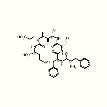 CSCC[C@H](NC(=O)[C@H](CCC(=O)O)NC(=O)[C@@H](NC(=O)[C@H](CC(C)C)NC(=O)[C@H](Cc1ccccc1)NC(=O)[C@@H](N)Cc1ccccc1)C(C)C)C(=O)O